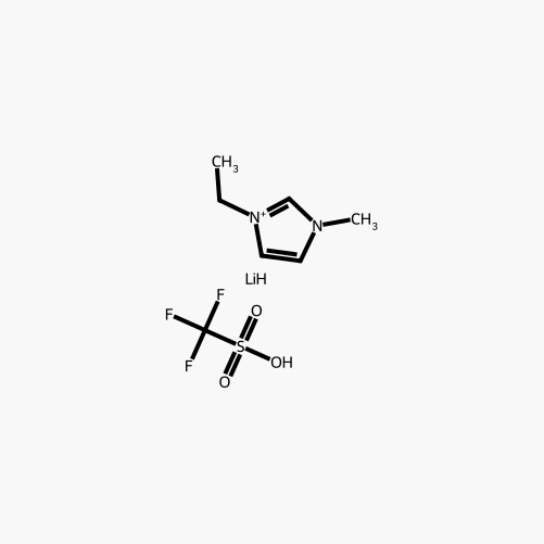 CC[n+]1ccn(C)c1.O=S(=O)(O)C(F)(F)F.[LiH]